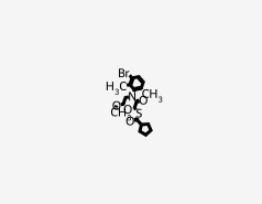 COC(=O)CN(C(=O)CSC(=O)C1CCCC1)c1c(C)ccc(Br)c1C